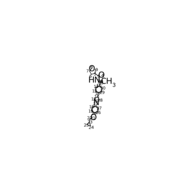 C[C@H](NC(=O)C1CCOC1)c1ccc(C2CN(c3ccc(OCC4CC4)cc3)C2)cc1